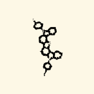 Fc1ccc(-n2c3ccccc3c3c4sc5c(ccc6c5c5ccccc5n6-c5ccc(F)cc5)c4ccc32)cc1